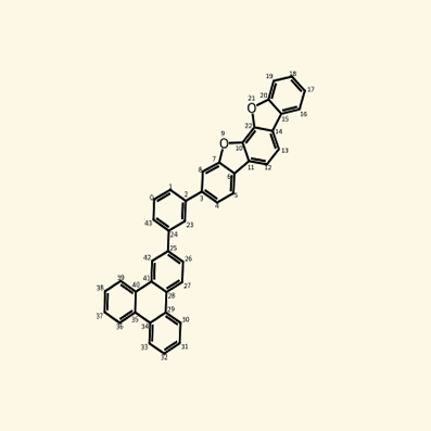 c1cc(-c2ccc3c(c2)oc2c3ccc3c4ccccc4oc32)cc(-c2ccc3c4ccccc4c4ccccc4c3c2)c1